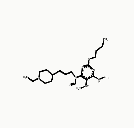 CCCCOc1nc(NC)c(NC)c(N(C=O)CCCC2CCN(CC)CC2)n1